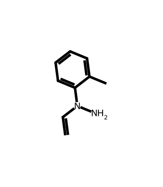 C=CN(N)c1ccccc1C